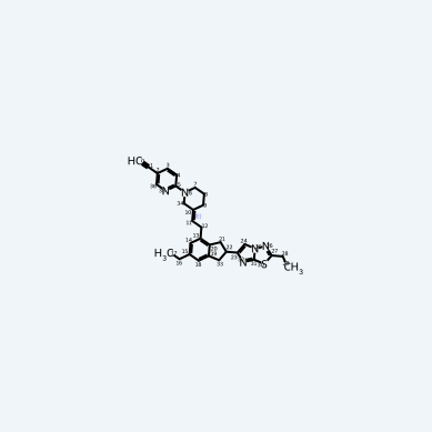 C#Cc1ccc(N2CCC/C(=C\Cc3cc(CC)cc4c3CC(c3cn5nc(CC)sc5n3)C4)C2)nc1